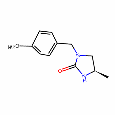 COc1ccc(CN2C[C@@H](C)NC2=O)cc1